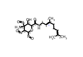 CC(C)=CCC/C(C)=C/CNC(=O)C1OC(N=O)C(N=O)C(N)(N=O)C1O